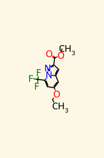 CCOc1cc(C(F)(F)F)n2nc(C(=O)OC)cc2c1